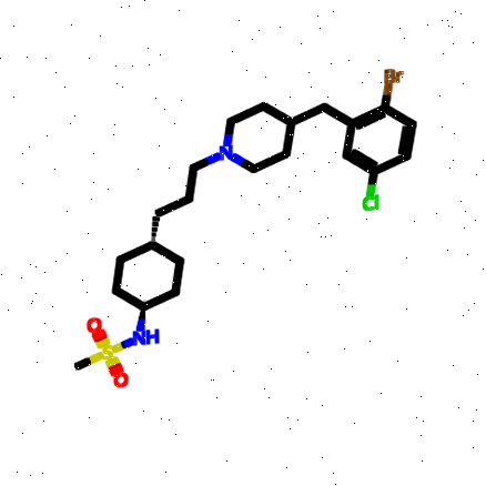 CS(=O)(=O)N[C@H]1CC[C@H](CCCN2CCC(Cc3cc(Cl)ccc3Br)CC2)CC1